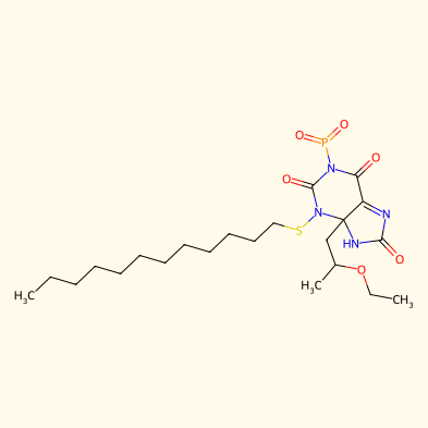 CCCCCCCCCCCCSN1C(=O)N(P(=O)=O)C(=O)C2=NC(=O)NC21CC(C)OCC